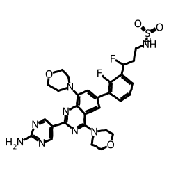 Nc1ncc(-c2nc(N3CCOCC3)c3cc(-c4cccc(C(F)CCN[SH](=O)=O)c4F)cc(N4CCOCC4)c3n2)cn1